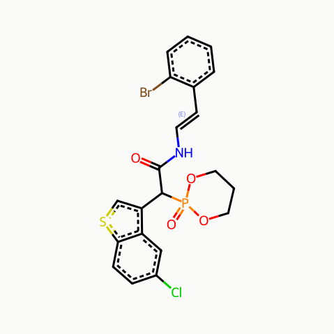 O=C(N/C=C/c1ccccc1Br)C(c1csc2ccc(Cl)cc12)P1(=O)OCCCO1